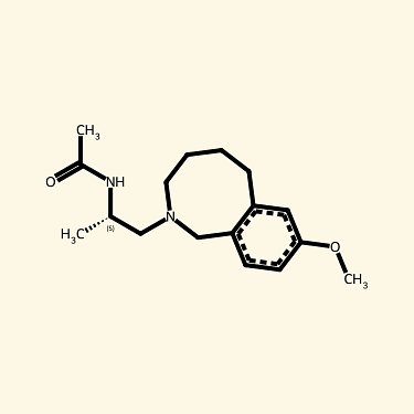 COc1ccc2c(c1)CCCCN(C[C@H](C)NC(C)=O)C2